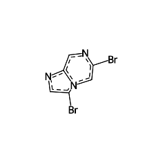 Brc1cn2c(Br)cnc2cn1